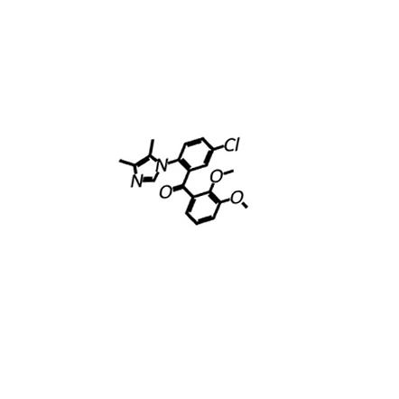 COc1cccc(C(=O)c2cc(Cl)ccc2-n2cnc(C)c2C)c1OC